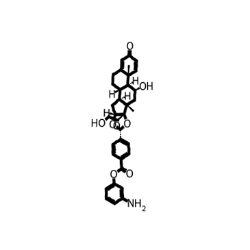 C[C@]12C=CC(=O)C=C1CC[C@@H]1[C@@H]2[C@@H](O)C[C@@]2(C)[C@H]1C[C@H]1O[C@@H](c3ccc(C(=O)Oc4cccc(N)c4)cc3)O[C@]12C(=O)CO